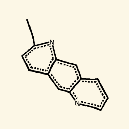 Cc1ccc2cc3ncccc3cc2n1